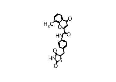 Cc1cccc2c(=O)cc(C(=O)Nc3ccc(CC4SC(=O)NC4=O)cc3)oc12